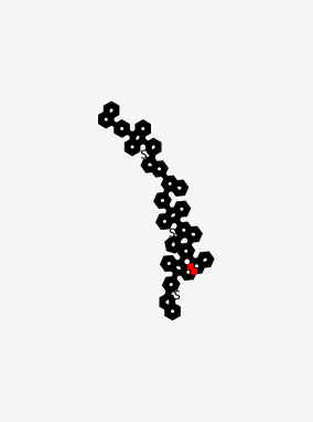 c1cc(-c2cc(-c3ccc4c(ccc5sc6c(-c7c8ccccc8c(-c8ccc(-c9cccc%10ccccc9%10)cc8)c8ccccc78)cccc6c54)c3)cc3ccccc23)cc(-c2c3ccccc3c(-c3cc4cccc(-c5ccc(-c6c7ccccc7c(-c7ccc8c(c7)sc7c9ccccc9ccc87)c7ccccc67)c(-c6cccc7ccccc67)c5)c4c4c3sc3ccccc34)c3ccccc23)c1